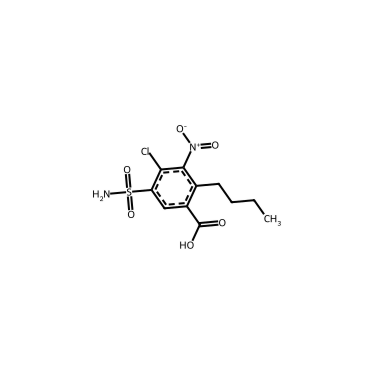 CCCCc1c(C(=O)O)cc(S(N)(=O)=O)c(Cl)c1[N+](=O)[O-]